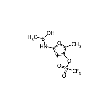 CB(O)Nc1nc(OS(=O)(=O)C(F)(F)F)c(C)o1